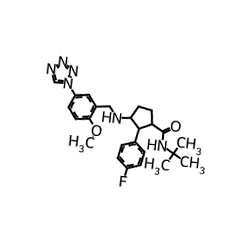 COc1ccc(-n2cnnn2)cc1CNC1CCC(C(=O)NC(C)(C)C)C1c1ccc(F)cc1